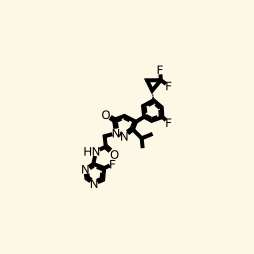 CC(C)c1nn(CC(=O)Nc2ncncc2F)c(=O)cc1-c1cc(F)cc([C@@H]2CC2(F)F)c1